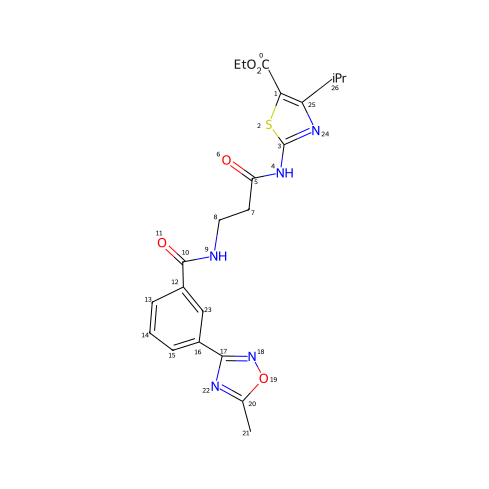 CCOC(=O)c1sc(NC(=O)CCNC(=O)c2cccc(-c3noc(C)n3)c2)nc1C(C)C